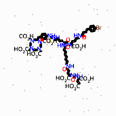 O=C(O)CC[C@H](NC(=O)N[C@@H](CCC(=O)NCCCCCCCC(=O)N[C@@H](CCCCNC(=S)Nc1ccc(CC2CN(CC(=O)O)CCN(CC(=O)O)CCN(CC(=O)O)CCN2CC(=O)O)cc1)C(=O)N[C@@H](CCCCNC(=O)CCCc1ccc(Br)cc1)C(=O)O)C(=O)O)C(=O)O